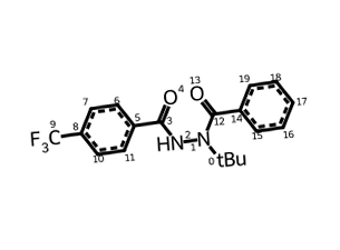 CC(C)(C)N(NC(=O)c1ccc(C(F)(F)F)cc1)C(=O)c1ccccc1